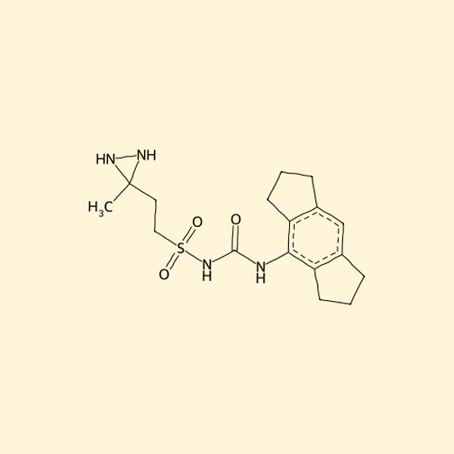 CC1(CCS(=O)(=O)NC(=O)Nc2c3c(cc4c2CCC4)CCC3)NN1